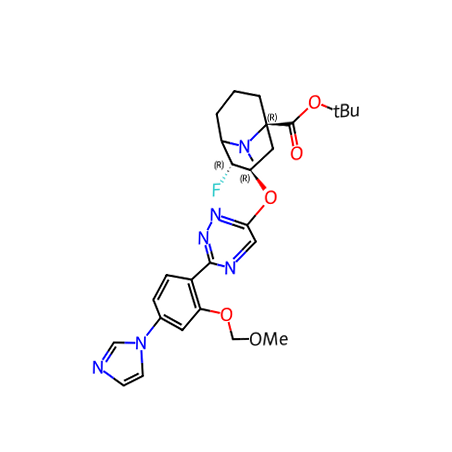 COCOc1cc(-n2ccnc2)ccc1-c1ncc(O[C@@H]2C[C@@]3(C(=O)OC(C)(C)C)CCCC([C@H]2F)N3C)nn1